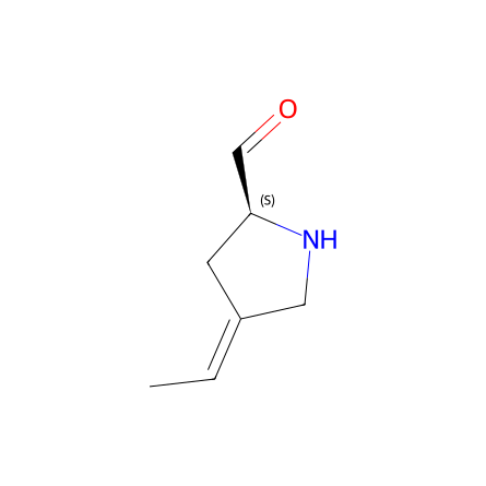 CC=C1CN[C@H](C=O)C1